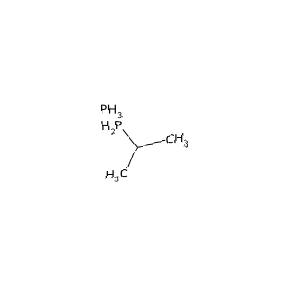 CC(C)P.P